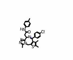 Cc1ccc(NC(=O)CC2/N=C(/c3ccc(Cl)cc3)c3c(sc(C)c3C)Cn3c(C)nnc32)cc1